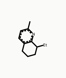 CCC1CCCc2ccc(C)nc21